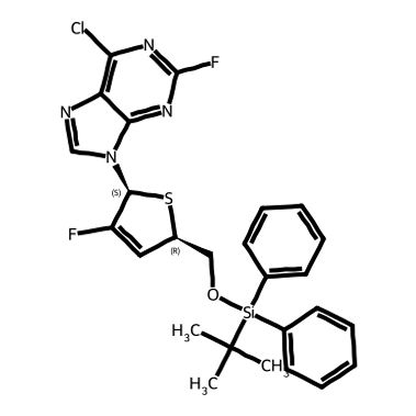 CC(C)(C)[Si](OC[C@H]1C=C(F)[C@@H](n2cnc3c(Cl)nc(F)nc32)S1)(c1ccccc1)c1ccccc1